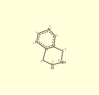 c1ncc2c(n1)CNNS2